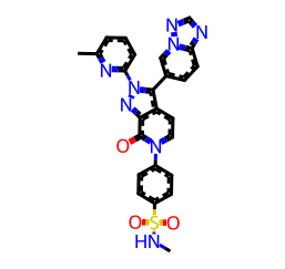 CNS(=O)(=O)c1ccc(-n2ccc3c(-c4ccc5ncnn5c4)n(-c4cccc(C)n4)nc3c2=O)cc1